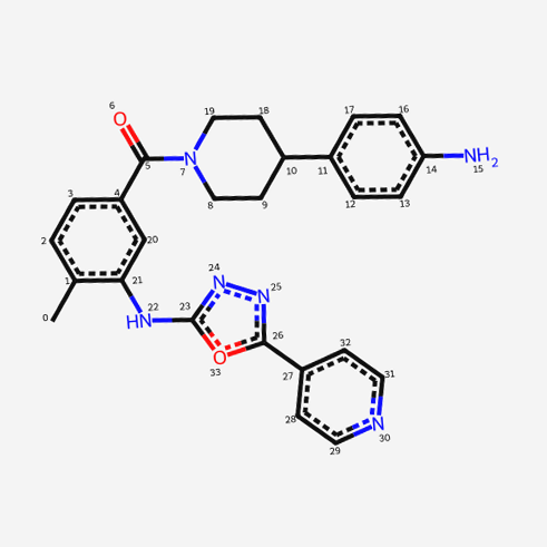 Cc1ccc(C(=O)N2CCC(c3ccc(N)cc3)CC2)cc1Nc1nnc(-c2ccncc2)o1